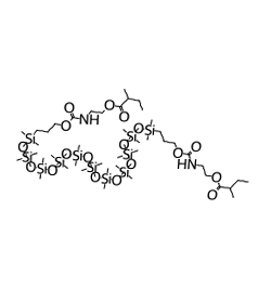 CCC(C)C(=O)OCCNC(=O)OCCC[Si](C)(C)O[Si](C)(C)O[Si](C)(C)O[Si](C)(C)O[Si](C)(C)O[Si](C)(C)O[Si](C)(C)O[Si](C)(C)O[Si](C)(C)O[Si](C)(C)O[Si](C)(C)CCCOC(=O)NCCOC(=O)C(C)CC